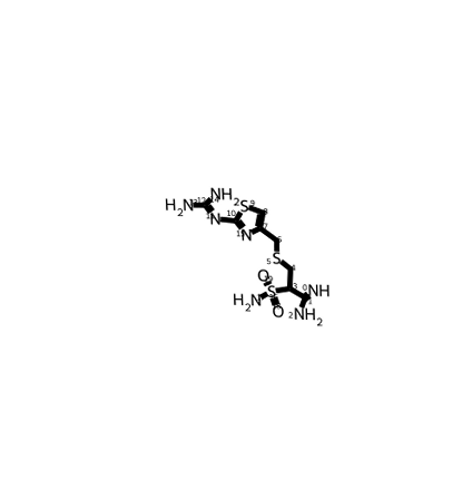 N=C(N)C(CSCc1csc(N=C(N)N)n1)S(N)(=O)=O